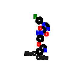 COc1cc2nccc(Oc3ccc(NC(=O)c4nccn(-c5ccc(F)cc5)c4=O)cc3)c2cc1OC